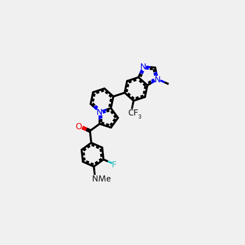 CNc1ccc(C(=O)c2ccc3c(-c4cc5ncn(C)c5cc4C(F)(F)F)cccn23)cc1F